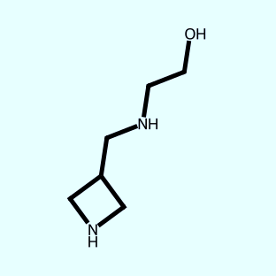 OCCNCC1CNC1